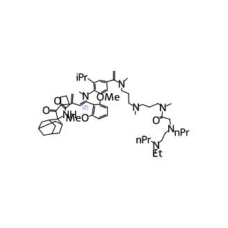 C=C(/C=C(/c1c(OC)cccc1OC)N(C)c1ccc(C(=C)N(C)CCCN(C)CCCN(C)C(=O)CN(CCC)CCN(CC)CCC)cc1C(C)C)C(=O)NC1(C(=O)C2CCC2)C2CC3CC(C2)CC1C3